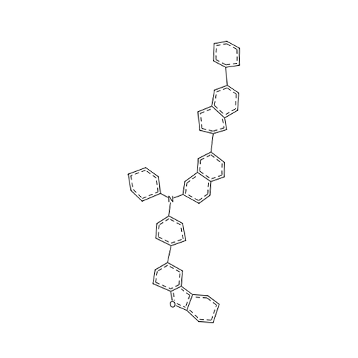 c1ccc(-c2ccc3cc(-c4ccc5ccc(N(c6ccccc6)c6ccc(-c7ccc8oc9ccccc9c8c7)cc6)cc5c4)ccc3c2)cc1